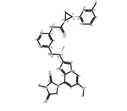 COc1cc(N2CC(=O)N(C)C2=O)c2nc([C@@H](C)Nc3cc(NC(=O)[C@H]4C[C@@H]4c4nccc(C)n4)ncn3)cn2c1